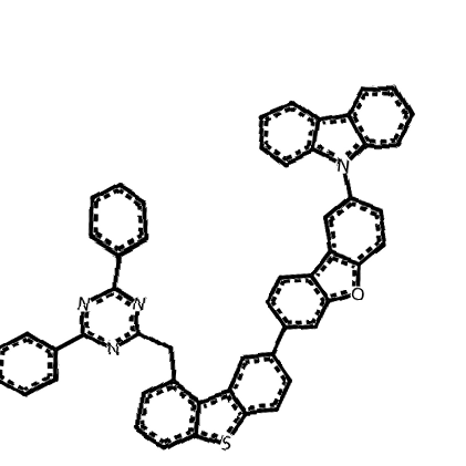 c1ccc(-c2nc(Cc3cccc4sc5ccc(-c6ccc7c(c6)oc6ccc(-n8c9ccccc9c9ccccc98)cc67)cc5c34)nc(-c3ccccc3)n2)cc1